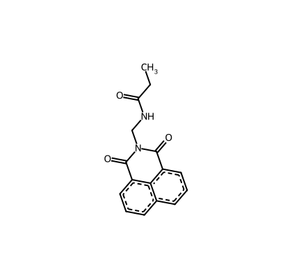 CCC(=O)NCN1C(=O)c2cccc3cccc(c23)C1=O